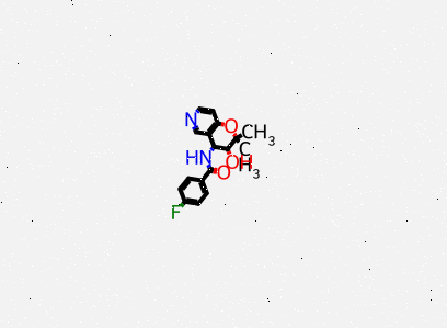 CC1(C)Oc2ccncc2C(NC(=O)c2ccc(F)cc2)C1O